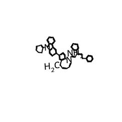 C=C1/C=C\C=C/N(/C(N)=C/C(=C\Cc2ccccc2)c2ccccc2)c2ccc(-c3ccc4c(c3)c3ccccc3n4C3=CC=CCC3)cc21